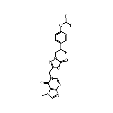 Cn1cnc2ncn(Cc3nn(CC(F)c4ccc(OC(F)F)cc4)c(=O)o3)c(=O)c21